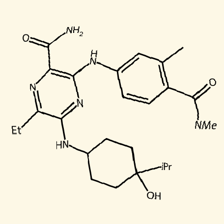 CCc1nc(C(N)=O)c(Nc2ccc(C(=O)NC)c(C)c2)nc1NC1CCC(O)(C(C)C)CC1